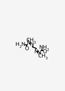 CN(N=CC=NN(C)C(N)=O)C(N)=O